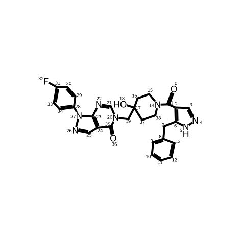 O=C(c1cn[nH]c1Cc1ccccc1)N1CCC(O)(Cn2cnc3c(cnn3-c3ccc(F)cc3)c2=O)CC1